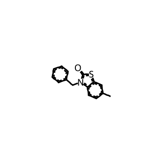 Cc1ccc2c(c1)sc(=O)n2Cc1ccccc1